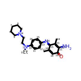 CCN(CCN1CCCCC1)c1ccc(N=C2C(C)=CC(=O)C(N)=C2C)cc1